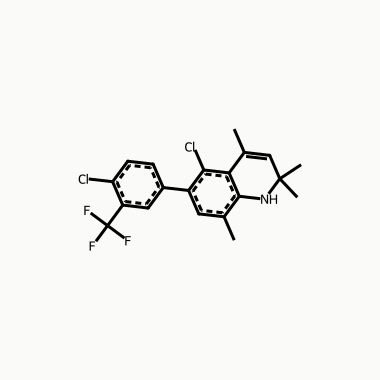 CC1=CC(C)(C)Nc2c(C)cc(-c3ccc(Cl)c(C(F)(F)F)c3)c(Cl)c21